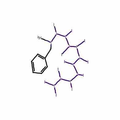 [2H]I(Cc1ccccc1)I(I)I(I)I(I)I(I)I(I)I(I)I(I)I(I)I(I)I(I)I